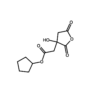 O=C1CC(O)(CC(=O)OC2CCCC2)C(=O)O1